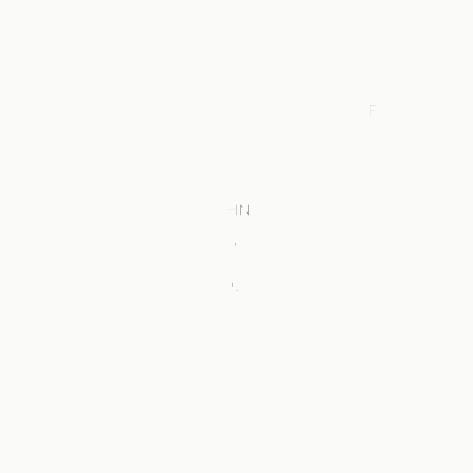 O=C(CC1CCCCC1)Nc1[c]ccc(C(F)(F)F)c1